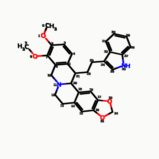 COc1ccc2c(c1OC)CN1CCc3cc4c(cc3C1C2CCc1c[nH]c2ccccc12)OCO4